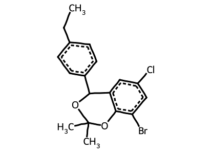 CCc1ccc(C2OC(C)(C)Oc3c(Br)cc(Cl)cc32)cc1